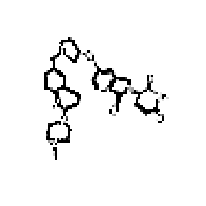 CN1CCN(c2ccc3cc(CN4CC[C@H](Oc5ccc6c(c5)CN(C5CCC(=O)NC5=O)C6=O)C4)ccc3n2)CC1